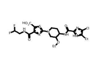 CCOC1CN(c2nc(C(=O)NCC(F)F)c(C(=O)O)s2)CCC1NC(=O)c1nc(Cl)c(CC)[nH]1